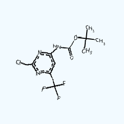 CC(C)(C)OC(=O)Nc1cc(C(F)(F)F)nc(Cl)n1